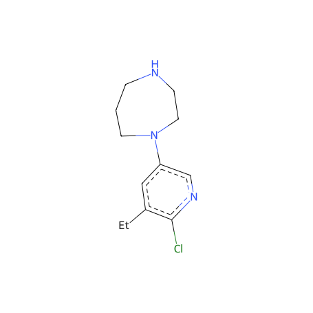 CCc1cc(N2CCCNCC2)cnc1Cl